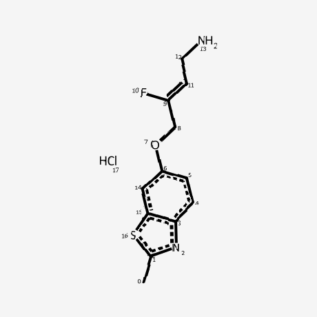 Cc1nc2ccc(OC/C(F)=C/CN)cc2s1.Cl